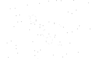 COc1ccc(NC(=O)C=Cc2ccncc2)cc1OCCN(C(C)C)C(C)C